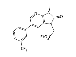 CCOC(=O)Cn1c(=O)n(C)c2ncc(-c3cccc(C(F)(F)F)c3)cc21